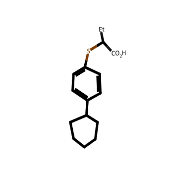 CCC(Sc1ccc(C2CCCCC2)cc1)C(=O)O